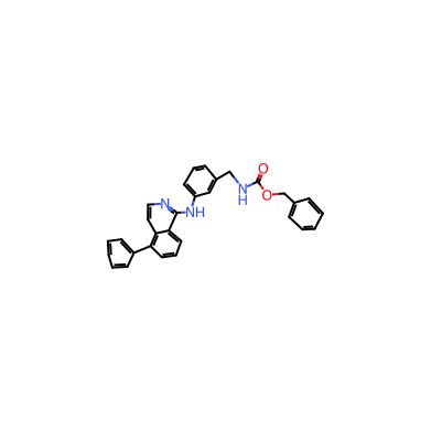 O=C(NCc1cccc(Nc2nccc3c(-c4ccccc4)cccc23)c1)OCc1ccccc1